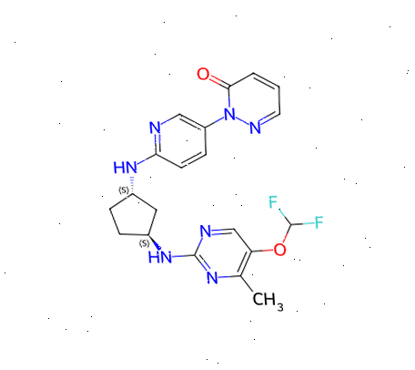 Cc1nc(N[C@H]2CC[C@H](Nc3ccc(-n4ncccc4=O)cn3)C2)ncc1OC(F)F